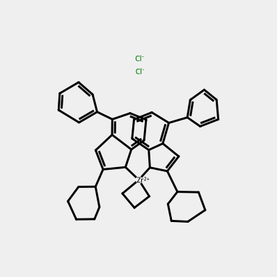 C1=C(C2CCCCC2)[CH]([Zr+2]2([CH]3C(C4CCCCC4)=Cc4c(-c5ccccc5)cccc43)[CH2]C[CH2]2)c2cccc(-c3ccccc3)c21.[Cl-].[Cl-]